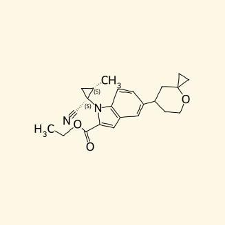 CCOC(=O)c1cc2cc(C3CCOC4(CC4)C3)ccc2n1[C@@]1(C#N)C[C@@H]1C